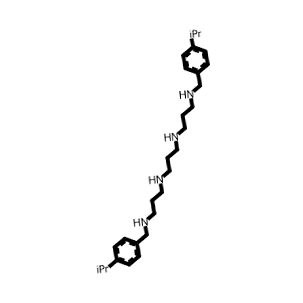 CC(C)c1ccc(CNCCCNCCCNCCCNCc2ccc(C(C)C)cc2)cc1